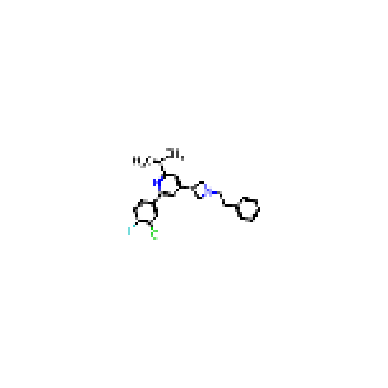 C=C(C)c1cc(C2CN(CCc3ccccc3)C2)cc(-c2ccc(F)c(Cl)c2)n1